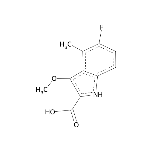 COc1c(C(=O)O)[nH]c2ccc(F)c(C)c12